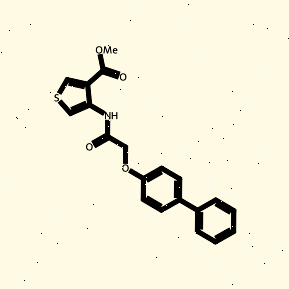 COC(=O)c1cscc1NC(=O)COc1ccc(-c2ccccc2)cc1